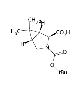 [2H][C@]12[C@H](CN(C(=O)OC(C)(C)C)[C@@H]1C(=O)O)C2(C)C